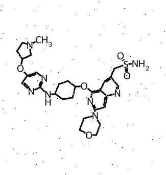 CN1CCC(Oc2cnc(NC3CCC(Oc4nc(N5CCOCC5)cc5ncc(CS(N)(=O)=O)cc45)CC3)nc2)C1